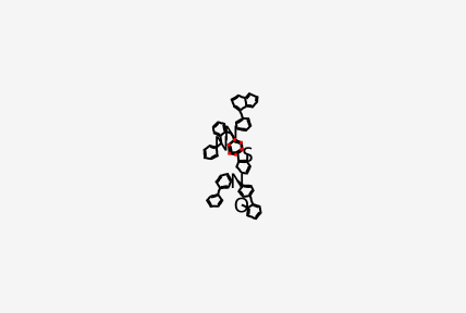 C1=CC(N(c2cccc(-c3ccccc3)c2)c2ccc3c(c2)oc2ccccc23)Cc2c1sc1cc(N(c3cccc(-c4cccc5ccccc45)c3)c3ccccc3N(c3ccccc3)c3ccccc3)ccc21